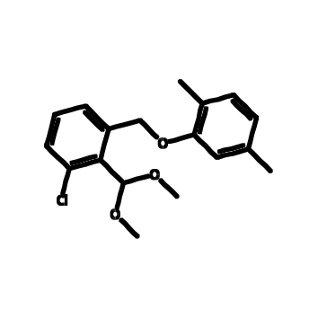 COC(OC)c1c(Cl)cccc1COc1cc(C)ccc1C